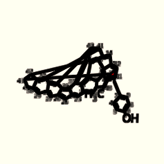 CC1N(c2ccc(O)cc2)CC2C3=c4c5c6c7c4=C4C8c9c%10c(cc%11cc%12cc%13cc%14c(c%15c%13c%13c%12c%11c%10c(c97)c%13c6%15)C5C(C3)C%14)=CC8CC421